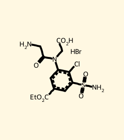 Br.CCOC(=O)c1cc(N(CC(=O)O)C(=O)CN)c(Cl)c(S(N)(=O)=O)c1